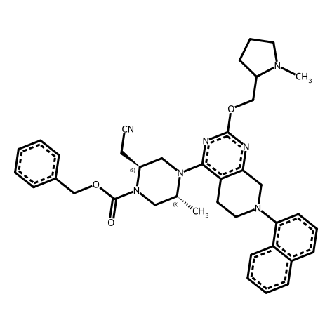 C[C@@H]1CN(C(=O)OCc2ccccc2)[C@@H](CC#N)CN1c1nc(OCC2CCCN2C)nc2c1CCN(c1cccc3ccccc13)C2